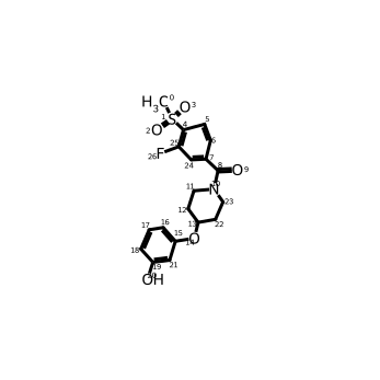 CS(=O)(=O)c1ccc(C(=O)N2CCC(Oc3cccc(O)c3)CC2)cc1F